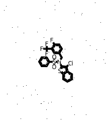 O=S(=O)(c1ccccc1)N(Cc1ccc(F)c(C(F)(F)F)c1)c1sc2ccccc2c1Cl